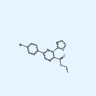 CCOC(=O)c1ccc(-c2ccc(Br)cc2)nc1-c1cccs1